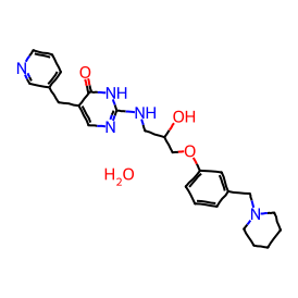 O.O=c1[nH]c(NCC(O)COc2cccc(CN3CCCCC3)c2)ncc1Cc1cccnc1